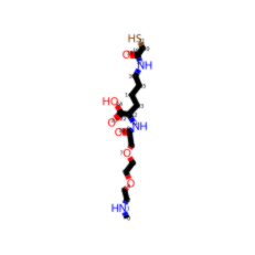 CNCCOCCOCC(=O)NC(CCCCNC(=O)CS)C(=O)O